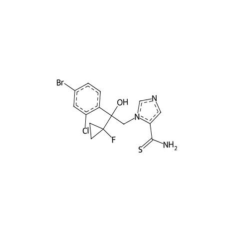 NC(=S)c1cncn1CC(O)(c1ccc(Br)cc1Cl)C1(F)CC1